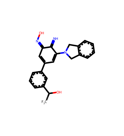 N=C1C(N2Cc3ccccc3C2)=CC(c2cccc(C(O)C(F)(F)F)c2)=C/C1=N/O